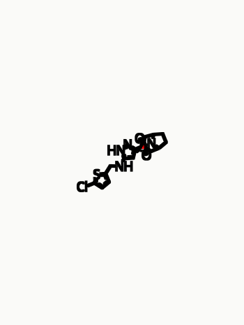 CS(=O)(=O)N1C2CCC1CC(c1cc(NCc3ccc(Cl)s3)[nH]n1)C2